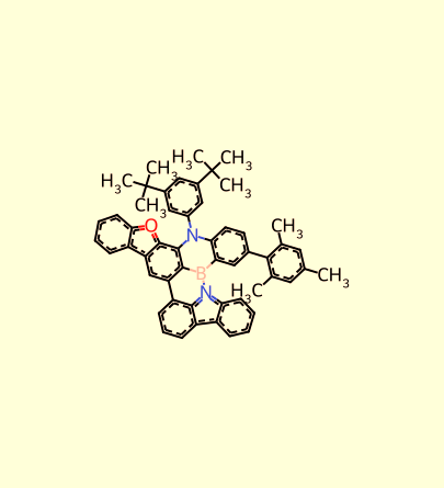 Cc1cc(C)c(-c2ccc3c(c2)B2c4c(cc5c(oc6ccccc65)c4N3c3cc(C(C)(C)C)cc(C(C)(C)C)c3)-c3cccc4c5ccccc5n2c34)c(C)c1